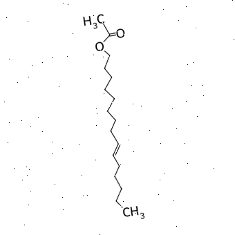 CCCCCC=CCCCCCCCCOC(C)=O